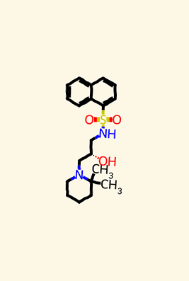 CC1(C)CCCCN1C[C@@H](O)CNS(=O)(=O)c1cccc2ccccc12